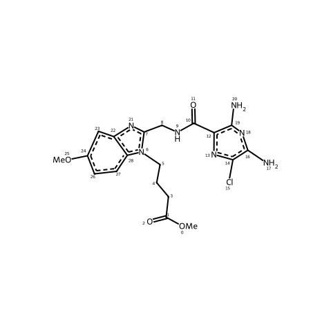 COC(=O)CCCn1c(CNC(=O)c2nc(Cl)c(N)nc2N)nc2cc(OC)ccc21